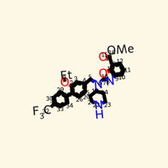 CCOc1cc(CN(c2nc3cccc(C(=O)OC)c3o2)C2CCNCC2)ccc1-c1ccc(C(F)(F)F)cc1